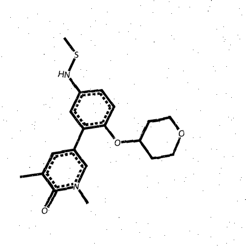 CSNc1ccc(OC2CCOCC2)c(-c2cc(C)c(=O)n(C)c2)c1